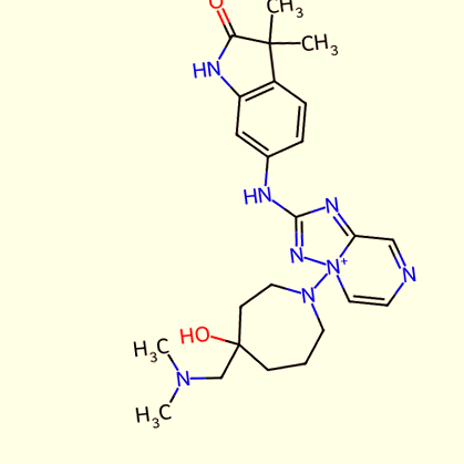 CN(C)CC1(O)CCCN([N+]23C=CN=CC2=NC(Nc2ccc4c(c2)NC(=O)C4(C)C)=N3)CC1